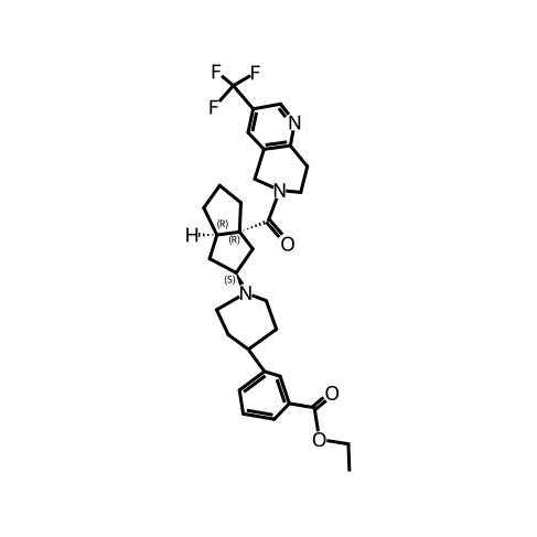 CCOC(=O)c1cccc(C2CCN([C@H]3C[C@H]4CCC[C@@]4(C(=O)N4CCc5ncc(C(F)(F)F)cc5C4)C3)CC2)c1